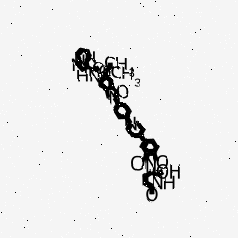 CC(C)Oc1cc2c(cc1NC(=O)c1cnn3cccnc13)CN(C1CCC(N3CCC(c4ccc5c(c4)C(=O)N(C4CCC(=O)NC4O)C5=O)CC3)CC1)C2=O